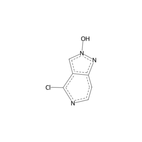 On1cc2c(Cl)nccc2n1